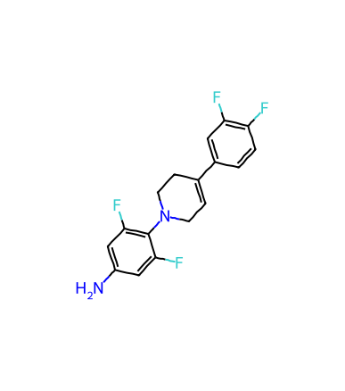 Nc1cc(F)c(N2CC=C(c3ccc(F)c(F)c3)CC2)c(F)c1